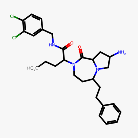 NC1CC2C(=O)N(C(CCC(=O)O)C(=O)NCc3ccc(Cl)c(Cl)c3)CCC(CCc3ccccc3)N2C1